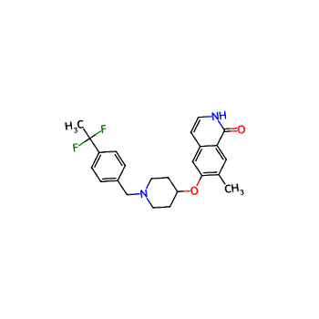 Cc1cc2c(=O)[nH]ccc2cc1OC1CCN(Cc2ccc(C(C)(F)F)cc2)CC1